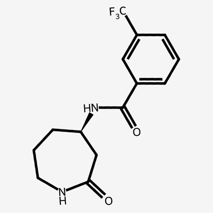 O=C1C[C@H](NC(=O)c2cccc(C(F)(F)F)c2)CCCN1